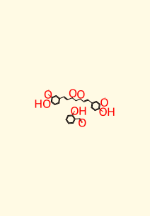 COc1cc(/C=C/C(=O)CC(=O)/C=C/c2ccc(O)c(OC)c2)ccc1O.O=Cc1ccccc1O